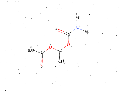 CCN(CC)C(=O)OC(C)OC(=O)C(C)(C)C